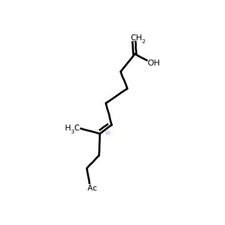 C=C(O)CCC/C=C(\C)CCC(C)=O